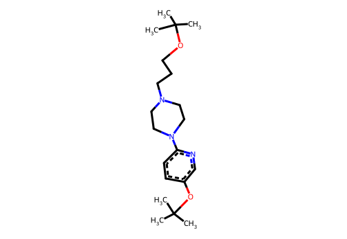 CC(C)(C)OCCCN1CCN(c2ccc(OC(C)(C)C)cn2)CC1